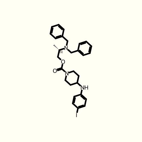 C[C@@H](COC(=O)N1CCC(Nc2ccc(I)cc2)CC1)N(Cc1ccccc1)Cc1ccccc1